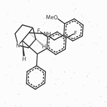 COc1ccccc1CN[C@@H]1C2CCN(CC2)[C@H]1C(c1ccccc1)c1ccc(F)cc1F